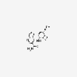 C#Cc1ccc(Nc2c(C(N)=O)cnn3cccc23)c2c1CC2